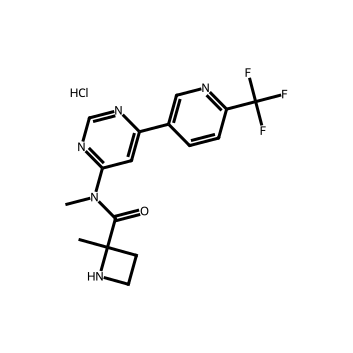 CN(C(=O)C1(C)CCN1)c1cc(-c2ccc(C(F)(F)F)nc2)ncn1.Cl